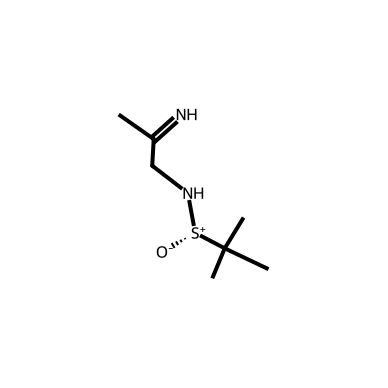 CC(=N)CN[S@@+]([O-])C(C)(C)C